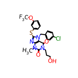 Cn1c(=O)n(CCCO)c(=O)c2c1nc(Sc1cccc(OC(F)(F)F)c1)n2Cc1ccc(Cl)cc1